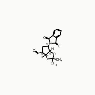 CC1(C)O[C@@H]2[C@H](O1)[C@@H](C=O)C[C@H]2N1C(=O)c2ccccc2C1=O